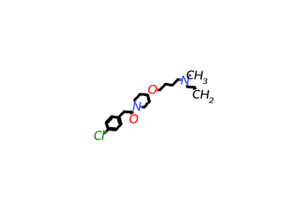 C=CCN(C)CCCCOC1CCN(C(=O)Cc2ccc(Cl)cc2)CC1